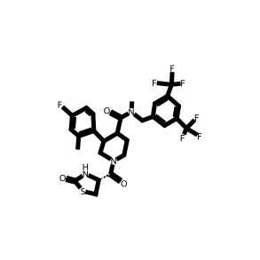 Cc1cc(F)ccc1C1CN(C(=O)[C@@H]2CSC(=O)N2)CCC1C(=O)N(C)Cc1cc(C(F)(F)F)cc(C(F)(F)F)c1